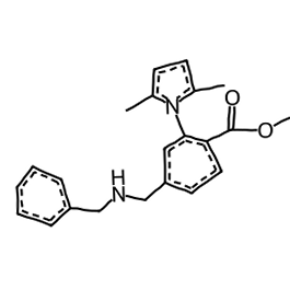 COC(=O)c1ccc(CNCc2ccccc2)cc1-n1c(C)ccc1C